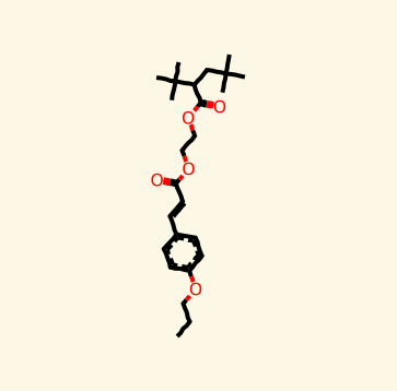 CCCOc1ccc(/C=C/C(=O)OCCOC(=O)C(CC(C)(C)C)C(C)(C)C)cc1